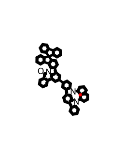 O=c1c2ccccc2c2cc(-c3ccc4c(c3)c3ccc5c6ccccc6n(-c6ccccc6)c5c3n4-c3ccccc3)cc3c4ccc5c(c4n1c23)-c1ccccc1C51c2ccccc2-c2ccccc21